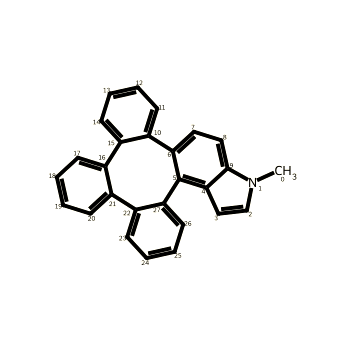 Cn1ccc2c3c(ccc21)-c1ccccc1-c1ccccc1-c1ccccc1-3